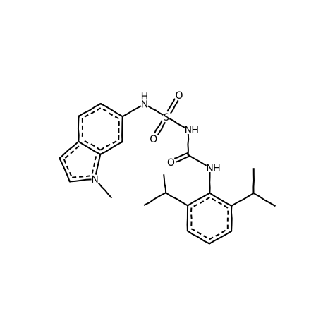 CC(C)c1cccc(C(C)C)c1NC(=O)NS(=O)(=O)Nc1ccc2ccn(C)c2c1